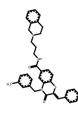 Cc1cccc(CN2C(=O)C(=Cc3ccccc3)Sc3ccc(C(=O)NCCCN4CCc5ccccc5C4)cc32)c1